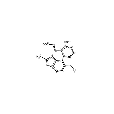 Nc1nc2ccc(CO)cc2s1.O=C([O-])C=Cc1ccccc1.[Na+]